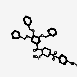 Nc1ccc(S(=O)(=O)N2CCN(C(=O)c3cc(OCc4ccccc4)c(OCc4ccccc4)c(OCc4ccccc4)c3)C(C(=O)O)C2)cc1